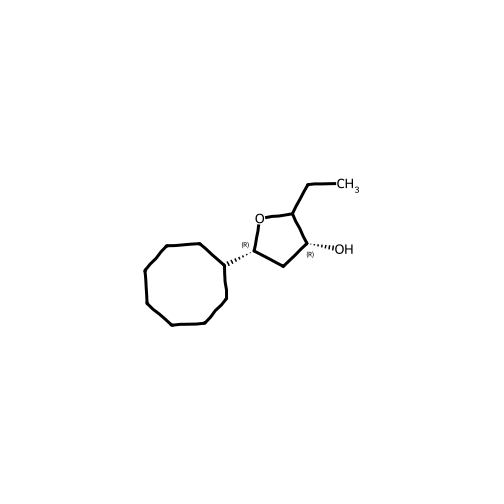 CCC1O[C@@H](C2CCCCCCC2)C[C@H]1O